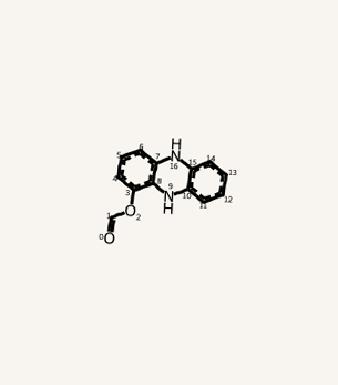 O=COc1cccc2c1Nc1ccccc1N2